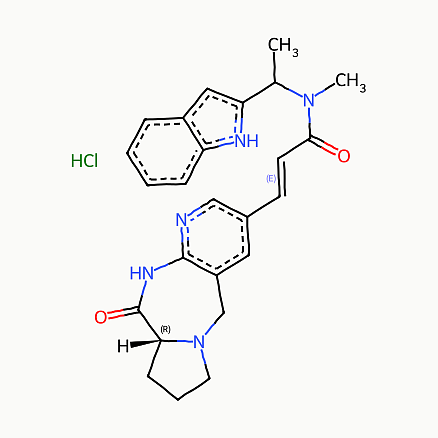 CC(c1cc2ccccc2[nH]1)N(C)C(=O)/C=C/c1cnc2c(c1)CN1CCC[C@@H]1C(=O)N2.Cl